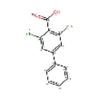 O=C(O)c1c(Cl)cc(-c2ccccc2)cc1Cl